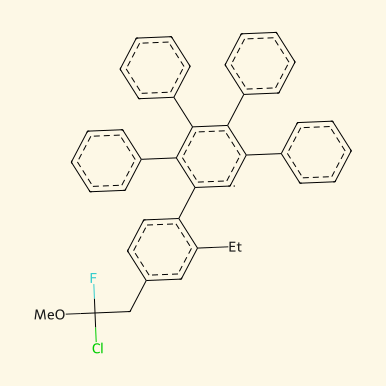 CCc1cc(CC(F)(Cl)OC)ccc1-c1[c]c(-c2ccccc2)c(-c2ccccc2)c(-c2ccccc2)c1-c1ccccc1